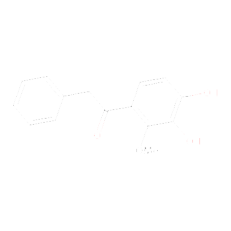 COc1c(C(=O)Cc2ccccc2)ccc(O)c1O